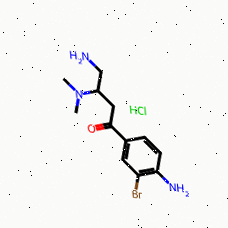 CN(C)C(CN)CC(=O)c1ccc(N)c(Br)c1.Cl